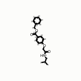 CC(C)CNC(=O)COc1ccc(C(=O)OCc2ccccc2)cc1